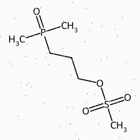 CP(C)(=O)CCCOS(C)(=O)=O